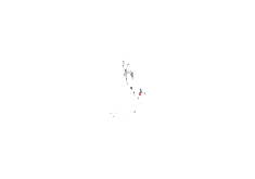 COc1ccc(Cc2ncc3c(n2)CN(Cc2cc4n(n2)CCNC4)C3)cc1